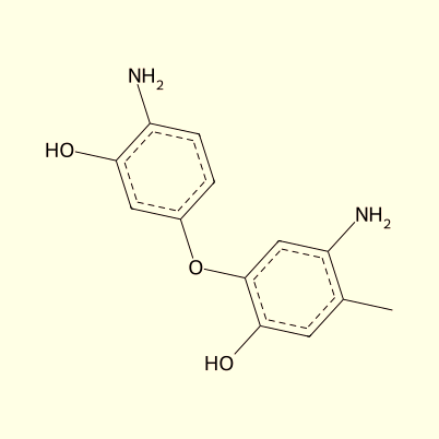 Cc1cc(O)c(Oc2ccc(N)c(O)c2)cc1N